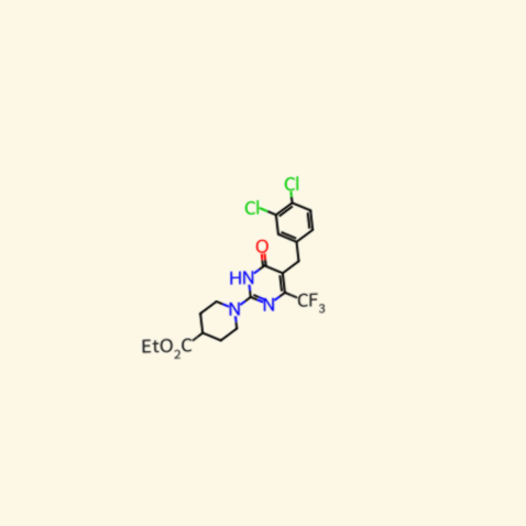 CCOC(=O)C1CCN(c2nc(C(F)(F)F)c(Cc3ccc(Cl)c(Cl)c3)c(=O)[nH]2)CC1